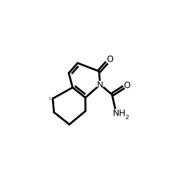 NC(=O)n1c2c(ccc1=O)[C]CCC2